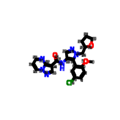 COc1ccc(Cl)cc1-c1c(NC(=O)c2cnn3cccnc23)cnn1CC1CCCO1